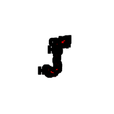 COC(C)c1c(NC(=O)Nc2cc(Cl)cnc2OCCNC(=O)CCOCCOCCOCCN2CCN(Cc3ccc(COc4cccc5c4CN([C@H]4CCC(=O)NC4=O)C5=O)cc3)CC2)cnc2cc(Cl)nn12